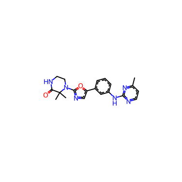 Cc1ccnc(Nc2cccc(-c3cnc(N4CCNC(=O)C4(C)C)o3)c2)n1